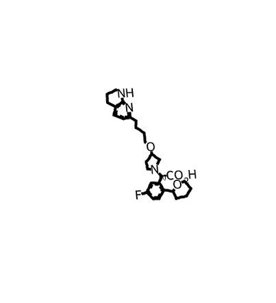 O=C(O)[C@@H](c1cc(F)ccc1C1CCCCO1)N1CCC(OCCCCc2ccc3c(n2)NCCC3)C1